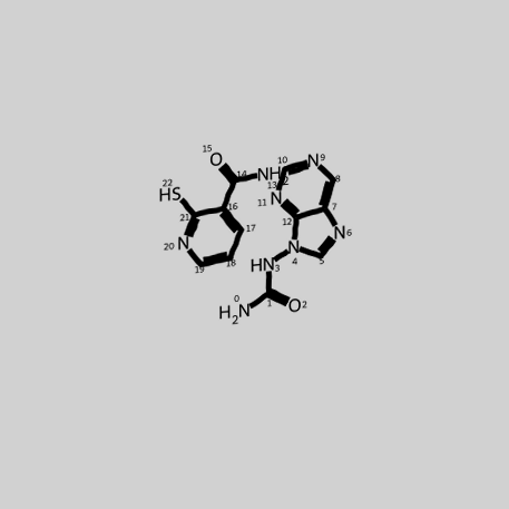 NC(=O)Nn1cnc2cncnc21.NC(=O)c1cccnc1S